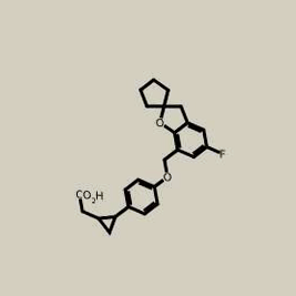 O=C(O)CC1CC1c1ccc(OCc2cc(F)cc3c2OC2(CCCC2)C3)cc1